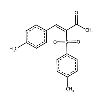 CC(=O)C(=Cc1ccc(C)cc1)S(=O)(=O)c1ccc(C)cc1